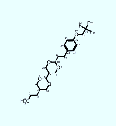 CCC[C@H]1CO[C@H]([C@H]2CO[C@H](CCc3ccc(OCC(F)(F)F)cc3)OC2)OC1